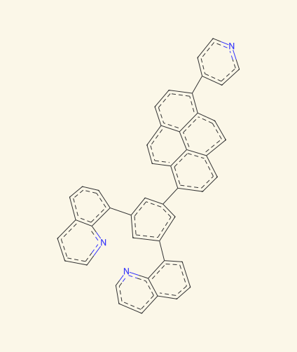 c1cnc2c(-c3cc(-c4ccc5ccc6c(-c7ccncc7)ccc7ccc4c5c76)cc(-c4cccc5cccnc45)c3)cccc2c1